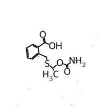 CC(OC(N)=O)SCc1ccccc1C(=O)O